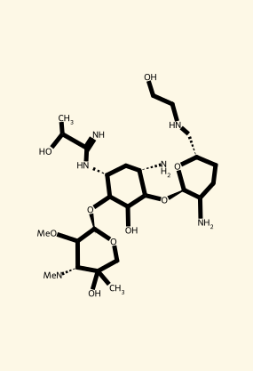 CN[C@@H]1C(OC)[C@@H](OC2C(O)C(O[C@H]3O[C@H](CNCCO)CCC3N)[C@@H](N)C[C@H]2NC(=N)C(C)O)OCC1(C)O